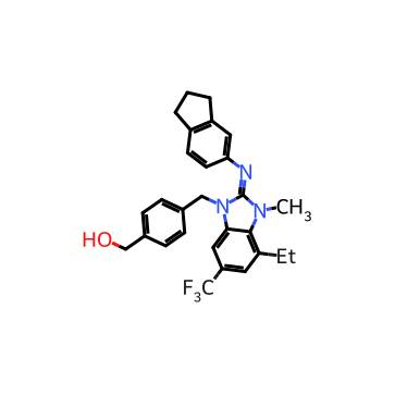 CCc1cc(C(F)(F)F)cc2c1n(C)/c(=N/c1ccc3c(c1)CCC3)n2Cc1ccc(CO)cc1